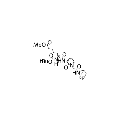 COC(=O)CCCC[C@H](NC(=O)OC(C)(C)C)C(=O)Nc1cccn(CC(=O)NC2C3CC4CC(C3)C2C4)c1=O